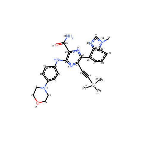 CC(C)[Si](C#Cc1nc(Nc2ccc(N3CCOCC3)cc2)c(C(N)=O)nc1-c1cccc2c1ncn2C)(C(C)C)C(C)C